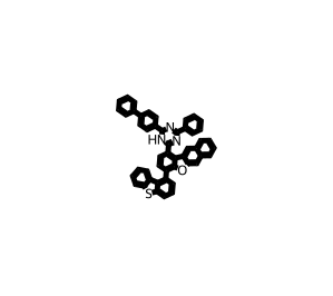 c1ccc(C2=NC(c3ccc(-c4ccccc4)cc3)NC(c3ccc(-c4cccc5sc6ccccc6c45)c4oc5cc6ccccc6cc5c34)=N2)cc1